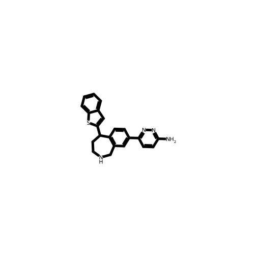 Nc1ccc(-c2ccc3c(c2)CNCCC3c2cc3ccccc3s2)nn1